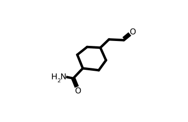 NC(=O)C1CCC(CC=O)CC1